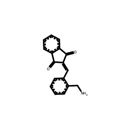 NCc1ccccc1C=C1C(=O)c2ccccc2C1=O